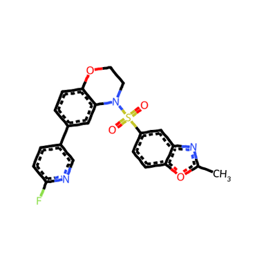 Cc1nc2cc(S(=O)(=O)N3CCOc4ccc(-c5ccc(F)nc5)cc43)ccc2o1